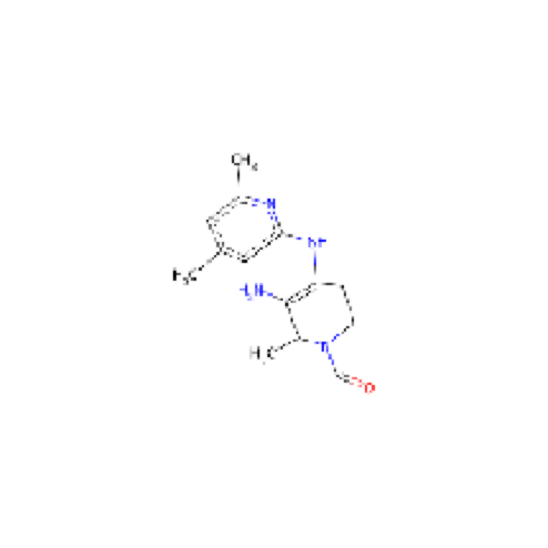 Cc1cc(C)nc(NC2=C(N)C(C)N(C=O)CC2)c1